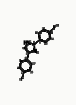 Fc1ccc(-c2c[nH]c(-c3ccc(F)cc3)n2)cc1